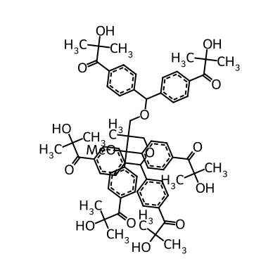 COC(c1ccc(C(=O)C(C)(C)O)cc1)(c1ccc(C(=O)C(C)(C)O)cc1)C(C)(COC(c1ccc(C(=O)C(C)(C)O)cc1)c1ccc(C(=O)C(C)(C)O)cc1)COC(c1ccc(C(=O)C(C)(C)O)cc1)c1ccc(C(=O)C(C)(C)O)cc1